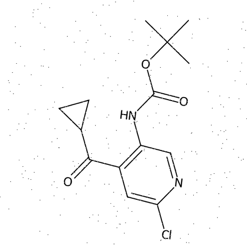 CC(C)(C)OC(=O)Nc1cnc(Cl)cc1C(=O)C1CC1